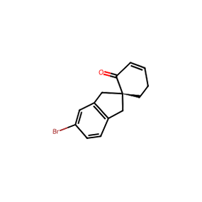 O=C1C=CCC[C@]12Cc1ccc(Br)cc1C2